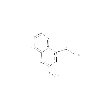 COc1cc(CO)c2ccccc2c1